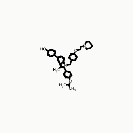 Cc1c(-c2ccc(OC(C)C)cc2)n(Cc2ccc(OCCN3CCCCC3)cc2)c2ccc(-c3ccc(O)cc3)cc12